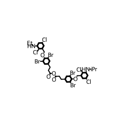 CCNc1cc(Cl)cc(COc2c(Br)cc(CCC(=O)OC(=O)CCc3cc(Br)c(OCc4cc(Cl)cc(NC(C)C)c4Cl)c(Br)c3)cc2Br)c1Cl